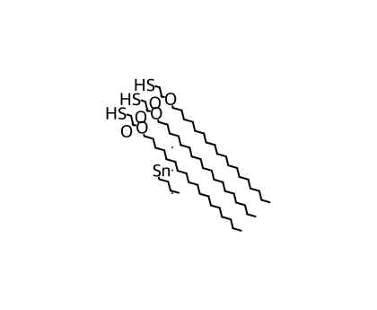 CCCCCCCCCCCCCCCCCCOC(=O)CS.CCCCCCCCCCCCCCCCCCOC(=O)CS.CCCCCCCCCCCCCCCCCCOC(=O)CS.CCC[CH2][Sn]